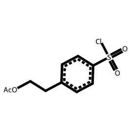 CC(=O)OCCc1ccc(S(=O)(=O)Cl)cc1